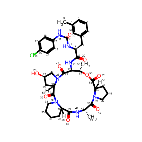 Cc1cccc(C[C@H](NC(=O)Nc2ccc(Cl)cc2)C(=O)N[C@@H]2C(=O)N3C[C@H](O)C[C@H]3C(=O)N3CCCC[C@H]3C(=O)N[C@@H](C)C(=O)N3CCC[C@H]3C(=O)O[C@H]2C)c1